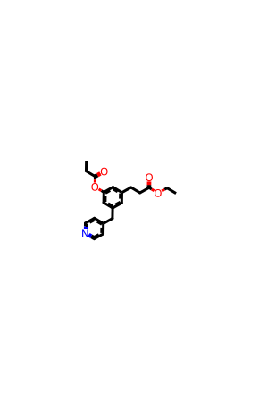 CCOC(=O)CCc1cc(Cc2ccncc2)cc(OC(=O)CC)c1